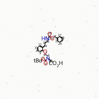 CC(C)(C)OC(=O)N(CCOc1ccccc1CCCNC(=O)OCc1ccccc1)CC(=O)O